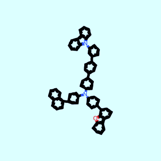 c1cc(-c2ccc(-c3ccc(N(c4ccc(-c5cccc6ccccc56)cc4)c4ccc(-c5cccc6c5oc5ccccc56)cc4)cc3)cc2)cc(-n2c3ccccc3c3ccccc32)c1